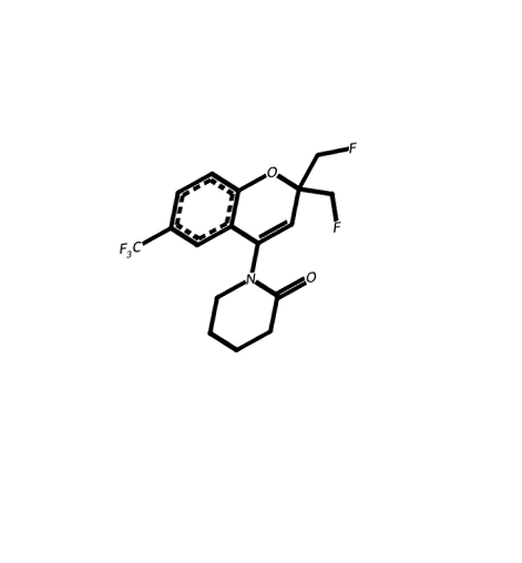 O=C1CCCCN1C1=CC(CF)(CF)Oc2ccc(C(F)(F)F)cc21